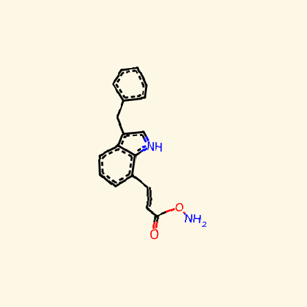 NOC(=O)/C=C/c1cccc2c(Cc3ccccc3)c[nH]c12